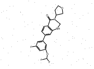 O=C1c2ccc(-c3cc(F)cc(OC(F)F)c3)cc2NCN1C1CCOC1